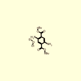 CCCCOC(=O)c1cc(N)c(C(=O)OCCCC)cc1N.CCOCC